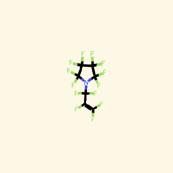 FC(F)=C(F)C(F)(F)N1C(F)(F)C(F)(F)C(F)(F)C1(F)F